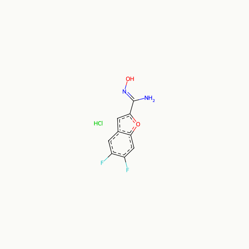 Cl.NC(=NO)c1cc2cc(F)c(F)cc2o1